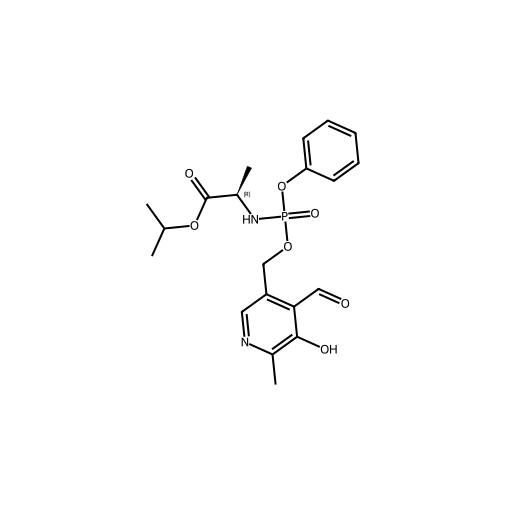 Cc1ncc(COP(=O)(N[C@H](C)C(=O)OC(C)C)Oc2ccccc2)c(C=O)c1O